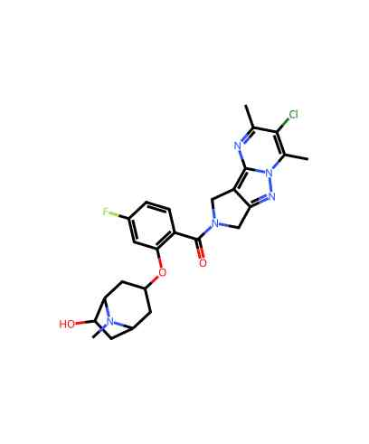 Cc1nc2c3c(nn2c(C)c1Cl)CN(C(=O)c1ccc(F)cc1OC1CC2CC(O)C(C1)N2C)C3